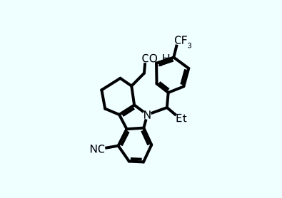 CCC(c1ccc(C(F)(F)F)cc1)n1c2c(c3c(C#N)cccc31)CCCC2CC(=O)O